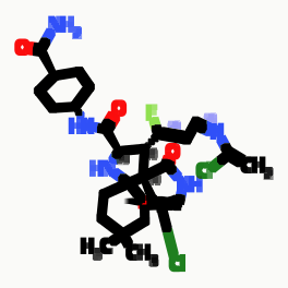 C=C(Cl)/N=C\C=C(/F)[C@H]1[C@H](C(=O)N[C@H]2CC[C@H](C(N)=O)CC2)NC2(CCC(C)(C)CC2)[C@@]12C(=O)Nc1cc(Cl)ccc12